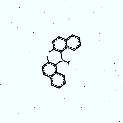 Cc1ccc2ccccc2c1B(F)c1c(C)ccc2ccccc12